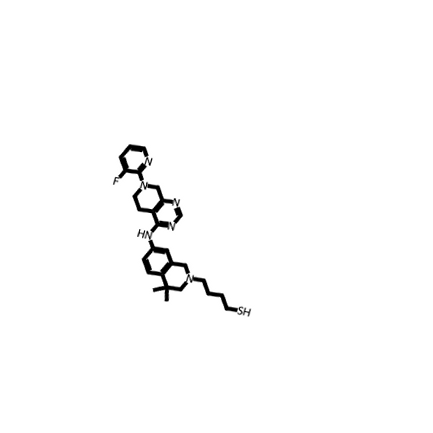 CC1(C)CN(CCCCS)Cc2cc(Nc3ncnc4c3CCN(c3ncccc3F)C4)ccc21